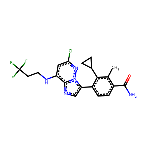 Cc1c(C(N)=O)ccc(-c2cnc3c(NCCC(F)(F)F)cc(Cl)nn23)c1C1CC1